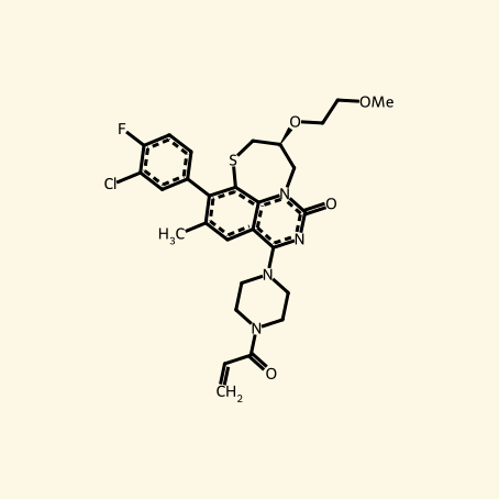 C=CC(=O)N1CCN(c2nc(=O)n3c4c(c(-c5ccc(F)c(Cl)c5)c(C)cc24)SC[C@@H](OCCOC)C3)CC1